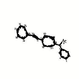 CC(=O)C(c1ccccc1)c1ccc(C#Cc2ccccc2)cc1